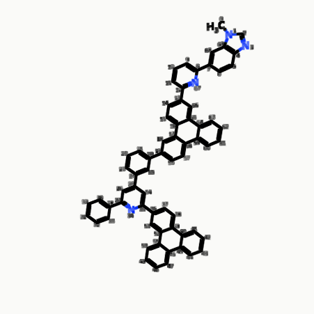 Cn1cnc2ccc(-c3cccc(-c4ccc5c6cc(-c7cccc(-c8cc(-c9ccccc9)nc(-c9ccc%10c%11ccccc%11c%11ccccc%11c%10c9)c8)c7)ccc6c6ccccc6c5c4)n3)cc21